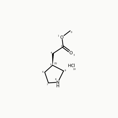 COC(=O)C[C@@H]1CCNC1.Cl